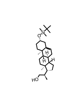 C[C@@H](CO)[C@H]1CC[C@H]2[C@@H]3CC=C4C[C@@H](O[Si](C)(C)C(C)(C)C)CC[C@]4(C)[C@H]3CC[C@]12C